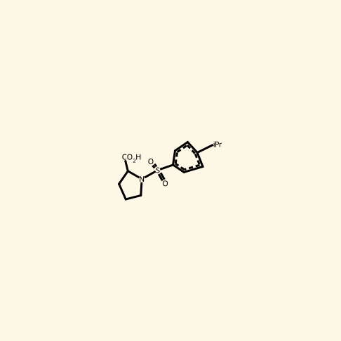 CC(C)c1ccc(S(=O)(=O)N2CCCC2C(=O)O)cc1